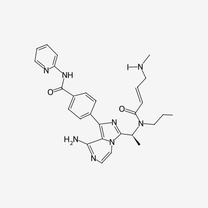 CCCN(C(=O)/C=C/CN(C)I)[C@@H](C)c1nc(-c2ccc(C(=O)Nc3ccccn3)cc2)c2c(N)nccn12